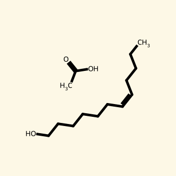 CC(=O)O.CCCC/C=C\CCCCCCO